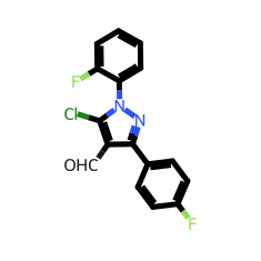 O=Cc1c(-c2ccc(F)cc2)nn(-c2ccccc2F)c1Cl